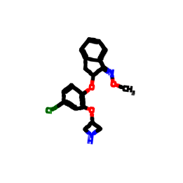 CON=C1c2ccccc2CC1Oc1ccc(Cl)cc1OC1CNC1